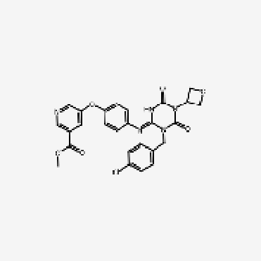 COC(=O)c1cncc(Oc2ccc(/N=c3\[nH]c(=O)n(C4COC4)c(=O)n3Cc3ccc(Cl)cc3)cc2)c1